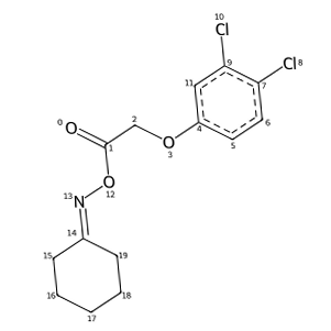 O=C(COc1ccc(Cl)c(Cl)c1)ON=C1CCCCC1